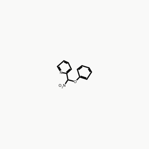 O=[N+]([O-])C(Oc1ccccc1)c1ccccn1